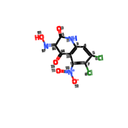 O=C1Nc2cc(Cl)c(Cl)c([N+](=O)[O-])c2C(=O)C1=NO